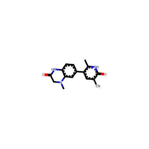 Cc1[nH]c(=O)c(C#N)cc1-c1ccc2c(c1)N(C)CC(=O)N2